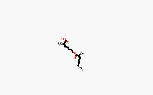 CCCCC=C(C)C(=O)OCCCCC=C(C)C(=O)O